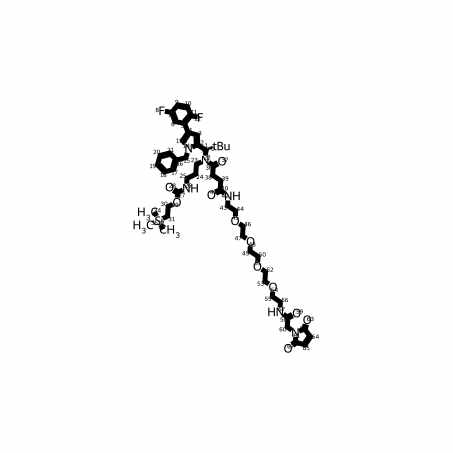 CC(C)(C)[C@H](c1cc(-c2cc(F)ccc2F)cn1Cc1ccccc1)N(CCCNC(=O)OCC[Si](C)(C)C)C(=O)CCC(=O)NCCOCCOCCOCCOCCNC(=O)CN1C(=O)C=CC1=O